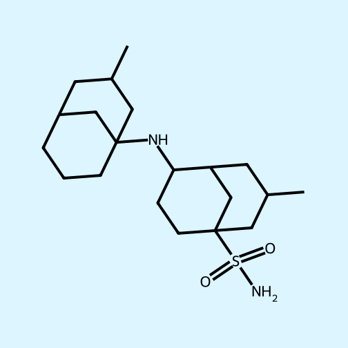 CC1CC2CCCC(NC3CCC4(S(N)(=O)=O)CC(C)CC3C4)(C1)C2